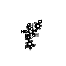 OCC1OC(Sc2ccc(Cl)cc2)C(O)C(n2cc(-c3cc(F)c(F)c(F)c3)nn2)C1O